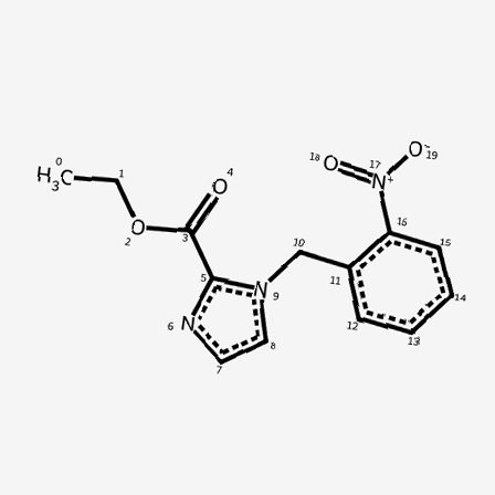 CCOC(=O)c1nccn1Cc1ccccc1[N+](=O)[O-]